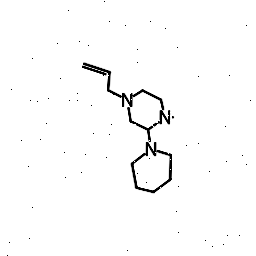 C=CCN1CC[N]C(N2CCCCC2)C1